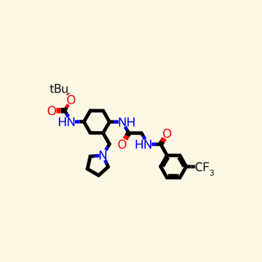 CC(C)(C)OC(=O)NC1CCC(NC(=O)CNC(=O)c2cccc(C(F)(F)F)c2)C(CN2CCCC2)C1